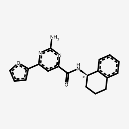 Nc1nc(C(=O)N[C@@H]2CCCc3ccccc32)cc(-c2ccco2)n1